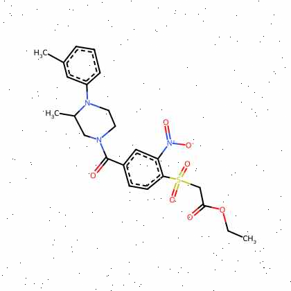 CCOC(=O)CS(=O)(=O)c1ccc(C(=O)N2CCN(c3cccc(C)c3)C(C)C2)cc1[N+](=O)[O-]